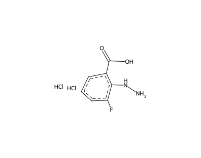 Cl.Cl.NNc1c(F)cccc1C(=O)O